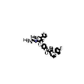 N=C/C=C1\NC=C(c2cccnc2)C=C1Oc1ccc(NC(=O)c2cccn(-c3ccc(F)cc3)c2=O)cc1F